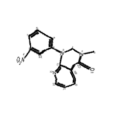 CN1CN(c2cccc([N+](=O)[O-])c2)c2ncccc2C1=O